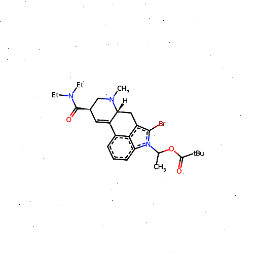 CCN(CC)C(=O)[C@@H]1C=C2c3cccc4c3c(c(Br)n4C(C)OC(=O)C(C)(C)C)C[C@H]2N(C)C1